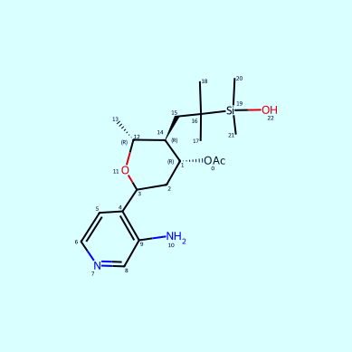 CC(=O)O[C@@H]1CC(c2ccncc2N)O[C@H](C)[C@H]1CC(C)(C)[Si](C)(C)O